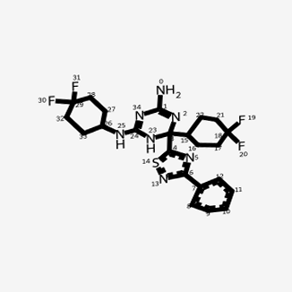 NC1=NC(c2nc(-c3ccccc3)ns2)(C2CCC(F)(F)CC2)NC(NC2CCC(F)(F)CC2)=N1